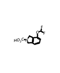 O=C(O)N1Cc2cccc(OC(F)F)c2C1